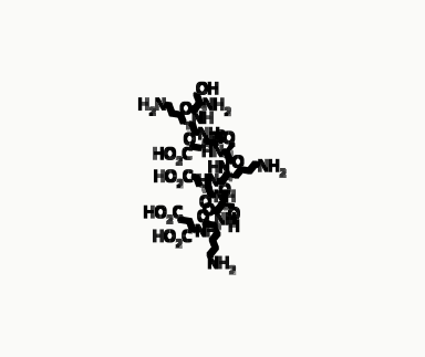 NCCCC[C@H](NC(=O)[C@H](CO)NC(=O)[C@H](CCC(=O)O)NC(=O)[C@H](CCCCN)NC(=O)[C@H](CO)NC(=O)[C@H](CCC(=O)O)NC(=O)[C@H](CCCCN)NC(=O)[C@@H](N)CO)C(=O)N[C@@H](CCC(=O)O)C(=O)O